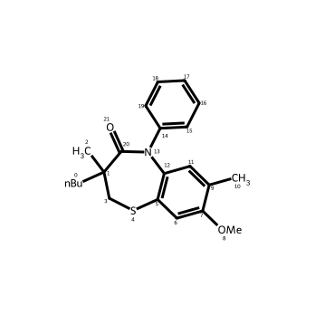 CCCCC1(C)CSc2cc(OC)c(C)cc2N(c2ccccc2)C1=O